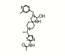 CC(=O)Nc1ncc([C@@H](C)N2CCC3(CC2)CN(Cc2ccnc(C)c2)C(O)N3)s1